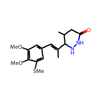 COc1cc(/C=C(\C)C2NNC(=O)CC2C)cc(SC)c1OC